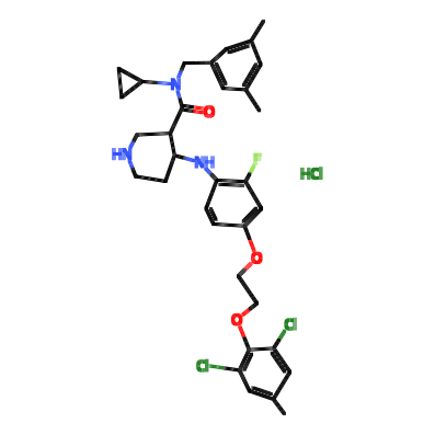 Cc1cc(C)cc(CN(C(=O)C2CNCCC2Nc2ccc(OCCOc3c(Cl)cc(C)cc3Cl)cc2F)C2CC2)c1.Cl